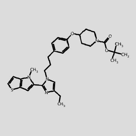 CCc1cn(CCCc2ccc(OC3CCN(C(=O)OC(C)(C)C)CC3)cc2)c(-c2cc3sccc3n2C)n1